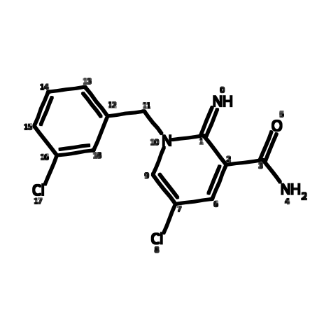 N=c1c(C(N)=O)cc(Cl)cn1Cc1cccc(Cl)c1